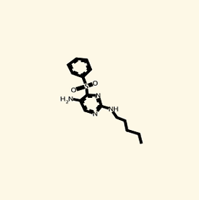 CCCCCNc1ncc(N)c(S(=O)(=O)c2ccccc2)n1